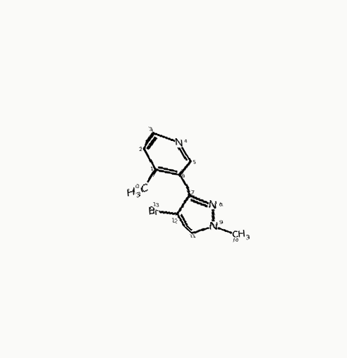 Cc1ccncc1-c1nn(C)cc1Br